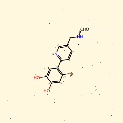 O=CNCc1ccc(-c2cc(O)c(O)cc2Br)nc1